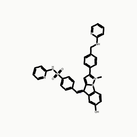 C[n+]1c(-c2ccc(CNc3ccccn3)cc2)cc2/c(=C\c3ccc(S(=O)(=O)Nc4ccccn4)cc3)c3cc(O)ccc3n21